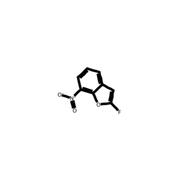 O=[N+]([O-])c1cccc2cc(F)oc12